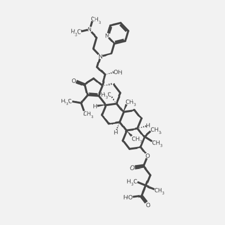 CC(C)C1=C2[C@H]3CC[C@@H]4[C@@]5(C)CCC(OC(=O)CC(C)(C)C(=O)O)C(C)(C)[C@@H]5CC[C@@]4(C)[C@]3(C)CC[C@@]2([C@@H](O)CN(CCN(C)C)Cc2ccccn2)CC1=O